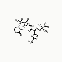 CC(C)(ON=C(C(=O)N[C@@H]1C(=O)N(S(=O)(=O)O)[C@H]1CN1CCCCC1=O)c1csc(N)n1)C(=O)O